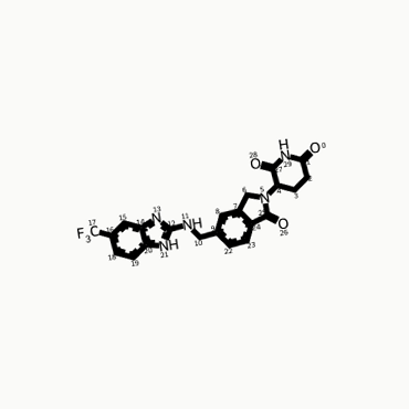 O=C1CCC(N2Cc3cc(CNc4nc5cc(C(F)(F)F)ccc5[nH]4)ccc3C2=O)C(=O)N1